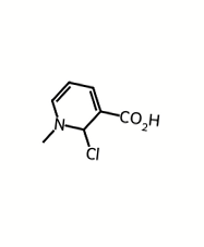 CN1C=CC=C(C(=O)O)C1Cl